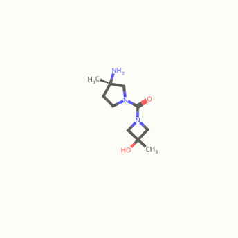 CC1(O)CN(C(=O)N2CC[C@](C)(N)C2)C1